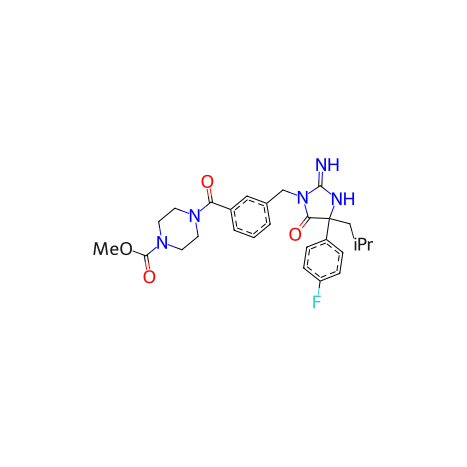 COC(=O)N1CCN(C(=O)c2cccc(CN3C(=N)NC(CC(C)C)(c4ccc(F)cc4)C3=O)c2)CC1